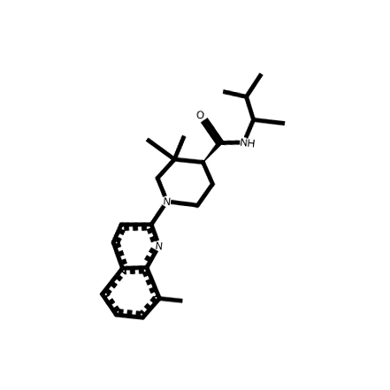 Cc1cccc2ccc(N3CC[C@H](C(=O)NC(C)C(C)C)C(C)(C)C3)nc12